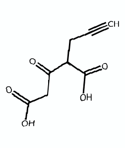 C#CCC(C(=O)O)C(=O)CC(=O)O